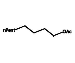 CCCCCCCC[CH]OC(C)=O